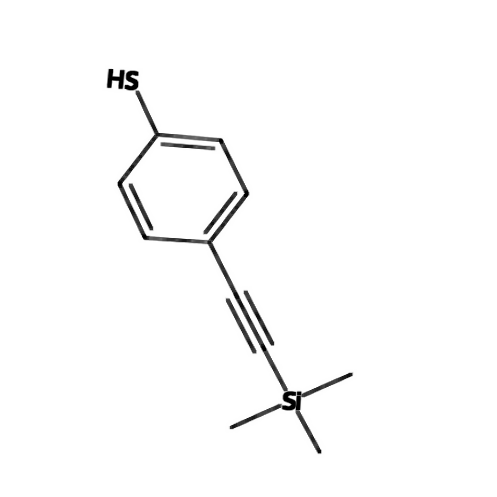 C[Si](C)(C)C#Cc1ccc(S)cc1